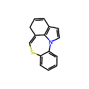 C1=Cc2ccn3c2C(=CSc2ccccc2-3)C1